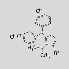 CC(C)C1=C(C(c2ccccc2)c2ccccc2)CC=[C]1[Ti+3].[Cl-].[Cl-].[Cl-]